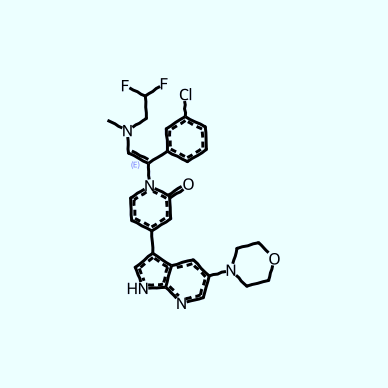 CN(/C=C(\c1cccc(Cl)c1)n1ccc(-c2c[nH]c3ncc(N4CCOCC4)cc23)cc1=O)CC(F)F